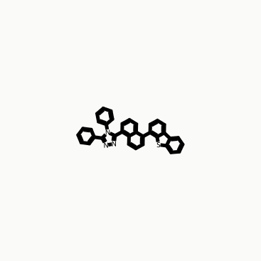 c1ccc(-c2nnc(-c3cccc4c(-c5cccc6c5sc5ccccc56)cccc34)n2-c2ccccc2)cc1